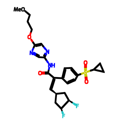 COCCCOc1cnc(NC(=O)/C(=C/[C@H]2C[C@@H](F)[C@@H](F)C2)c2ccc(S(=O)(=O)C3CC3)cc2)cn1